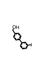 OCc1ccc(-c2cccc(I)c2)cc1